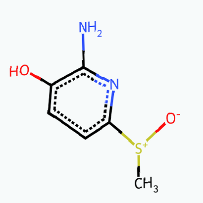 C[S+]([O-])c1ccc(O)c(N)n1